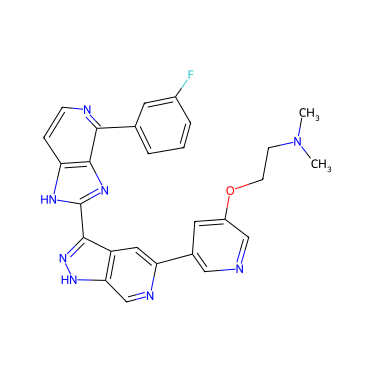 CN(C)CCOc1cncc(-c2cc3c(-c4nc5c(-c6cccc(F)c6)nccc5[nH]4)n[nH]c3cn2)c1